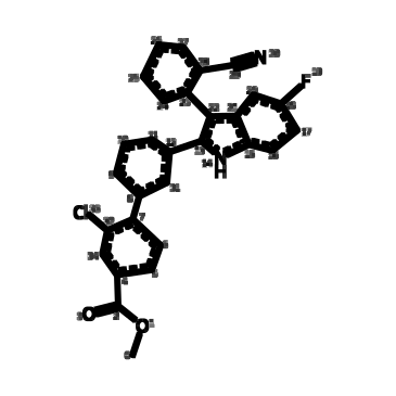 COC(=O)c1ccc(-c2cccc(-c3[nH]c4ccc(F)cc4c3-c3ccccc3C#N)c2)c(Cl)c1